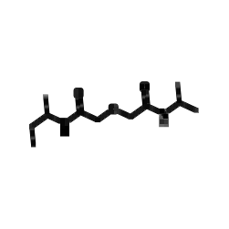 CCC(C)NC(=O)COCC(=O)NC(C)C